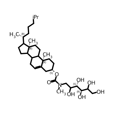 CC(C)CCC[C@@H](C)C1CCC2C3CC=C4C[C@@H](OC(=O)N(C)CC(O)[C@H](O)[C@H](O)C(O)CO)CC[C@]4(C)C3CC[C@@]21C